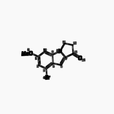 COc1cc(Br)c2cc3n(c2c1)CCC3=O